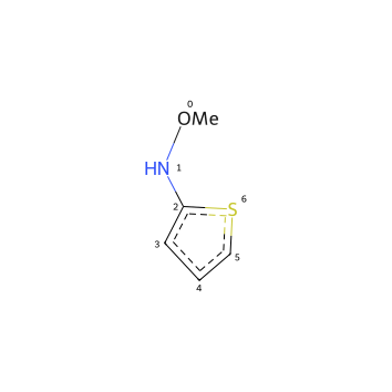 CONc1cccs1